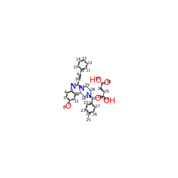 COc1ccc(N=C(C#Cc2ccccc2)N2CCN(Cc3ccc(C)cc3)CC2)cc1.O=C(O)C=CC(=O)O